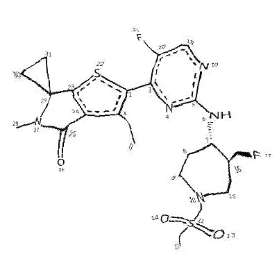 Cc1c(-c2nc(N[C@H]3CCN(S(C)(=O)=O)C[C@@H]3F)ncc2F)sc2c1C(=O)N(C)C21CC1